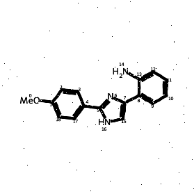 COc1ccc(-c2nc(-c3ccccc3N)c[nH]2)cc1